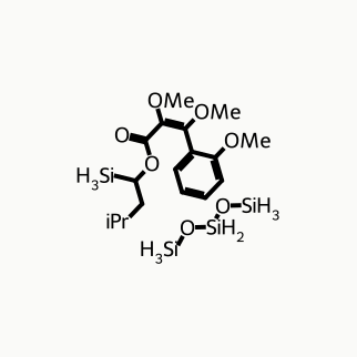 COC(C(=O)OC([SiH3])CC(C)C)=C(OC)c1ccccc1OC.[SiH3]O[SiH2]O[SiH3]